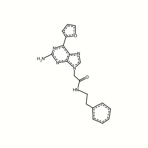 Nc1nc(-c2ccco2)c2ncn(CC(=O)NCCc3ccccc3)c2n1